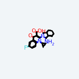 NC1C2=CCCCC2CN1c1c(C(=O)O)c(=O)c2cc(F)ccc2n1C1CC1